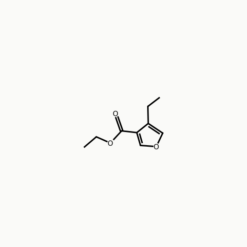 CCOC(=O)c1cocc1CC